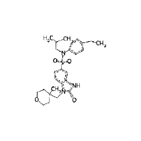 CCc1ccc(N(CC(C)C)S(=O)(=O)c2ccc3c(c2)[nH]c(=O)n3CC2(C)CCOCC2)cc1